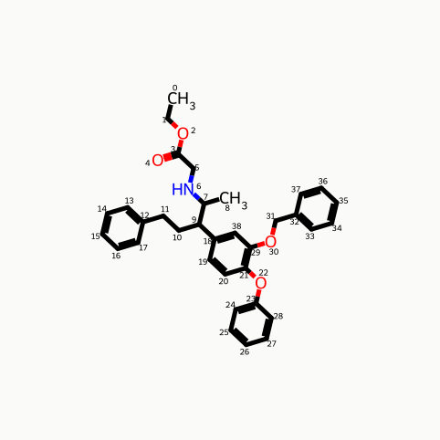 CCOC(=O)CNC(C)C(CCc1ccccc1)c1ccc(Oc2ccccc2)c(OCc2ccccc2)c1